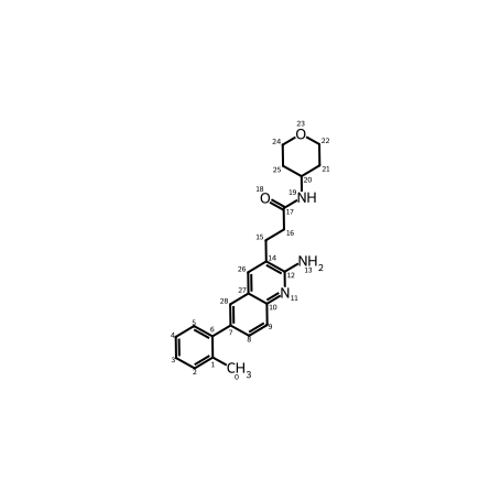 Cc1ccccc1-c1ccc2nc(N)c(CCC(=O)NC3CCOCC3)cc2c1